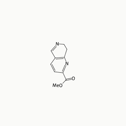 COC(=O)c1ccc2c(n1)CCN=C2